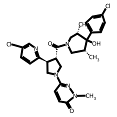 C[C@@H]1CN(C(=O)[C@@H]2CN(c3ccc(=O)n(C)n3)C[C@H]2c2ccc(Cl)cn2)C[C@H](C)C1(O)c1ccc(Cl)cc1